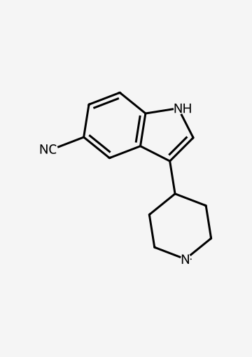 N#Cc1ccc2[nH]cc(C3CC[N]CC3)c2c1